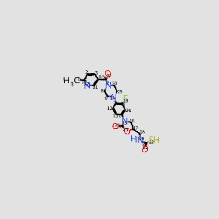 Cc1ccc(C(=O)N2CCN(c3ccc(N4CC(CNC(=O)S)OC4=O)cc3F)CC2)cn1